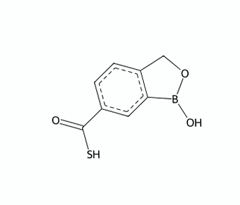 O=C(S)c1ccc2c(c1)B(O)OC2